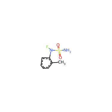 Cc1ccccc1N(F)S(N)(=O)=O